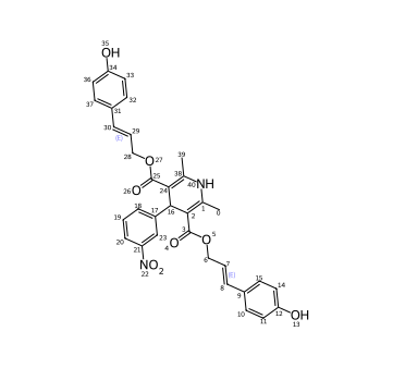 CC1=C(C(=O)OC/C=C/c2ccc(O)cc2)C(c2cccc([N+](=O)[O-])c2)C(C(=O)OC/C=C/c2ccc(O)cc2)=C(C)N1